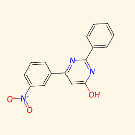 O=[N+]([O-])c1cccc(-c2cc(O)nc(-c3ccccc3)n2)c1